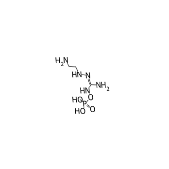 NCCNN=C(N)NOP(=O)(O)O